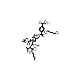 CCCCNC(=O)[C@@H](C[C@H](O)[C@H](C[C@H](CNC(=O)c1ccc(C(=O)NC)cc1OCCCCOC)C(C)C)NC(=O)OC(C)(C)C)C(C)C